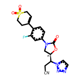 N#CCC([C@H]1CN(c2ccc(C3=CCS(=O)(=O)CC3)c(F)c2)C(=O)O1)n1ccnn1